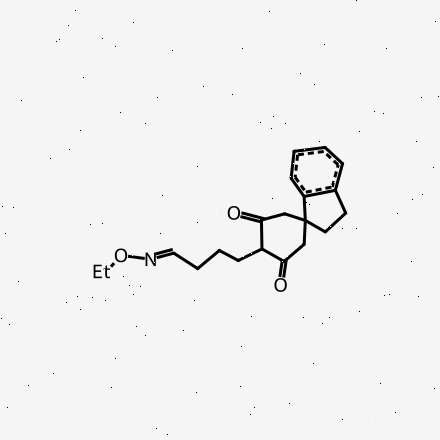 CCON=CCCCC1C(=O)CC2(CCc3ccccc32)CC1=O